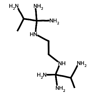 CC(N)C(N)(N)NCCNC(N)(N)C(C)N